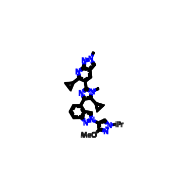 COc1nn(C(C)C)cc1-n1cc2c(-c3nc(-c4cc5cn(C)nc5nc4C4CC4)n(C)c3C3CC3)cccc2n1